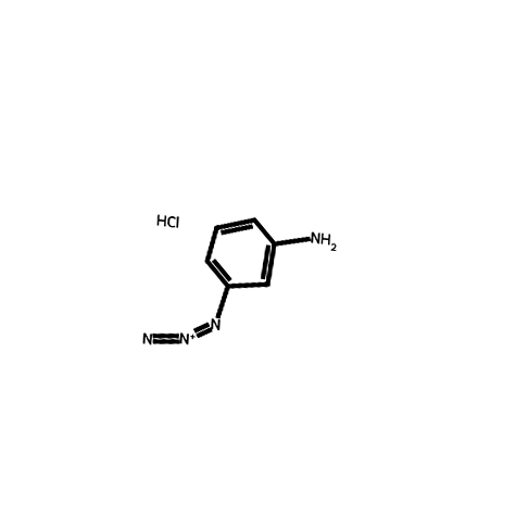 Cl.[N-]=[N+]=Nc1cccc(N)c1